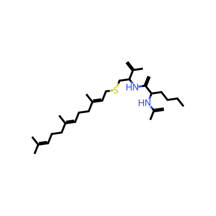 C=C(C)NC(CCCC)C(=C)NC(CSC/C=C(\C)CC/C=C(\C)CCC=C(C)C)C(=C)C